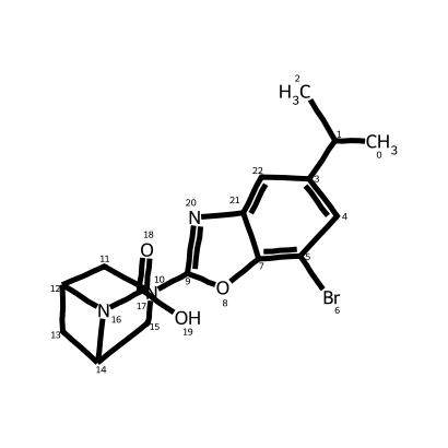 CC(C)c1cc(Br)c2oc(N3CC4CC(C3)N4C(=O)O)nc2c1